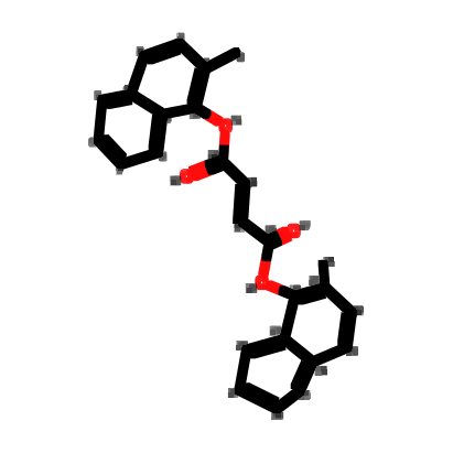 Cc1ccc2ccccc2c1OC(=O)C=CC(=O)Oc1c(C)ccc2ccccc12